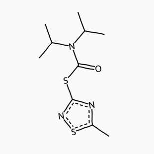 Cc1nc(SC(=O)N(C(C)C)C(C)C)ns1